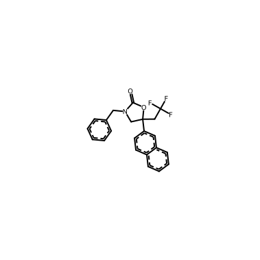 O=C1OC(CC(F)(F)F)(c2ccc3ccccc3c2)CN1Cc1ccccc1